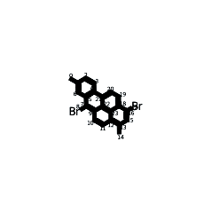 Cc1ccc2c(c1)c(Br)c1ccc3c(C)cc(Br)c4ccc2c1c34